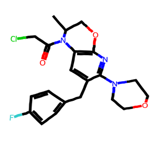 CC1COc2nc(N3CCOCC3)c(Cc3ccc(F)cc3)cc2N1C(=O)CCl